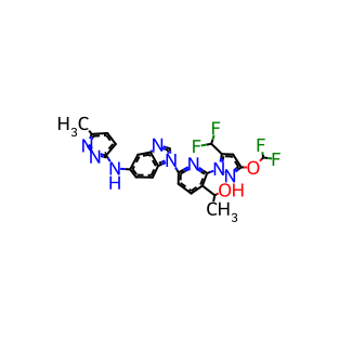 Cc1ccc(Nc2ccc3c(c2)ncn3-c2ccc(C(C)O)c(-n3nc(OC(F)F)cc3C(F)F)n2)nn1